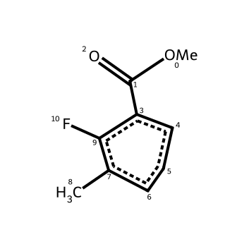 COC(=O)c1cccc(C)c1F